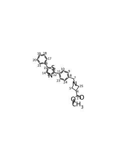 COC(=O)C1CN(Cc2ccc(-c3ncc(-c4ccccc4)s3)cc2)C1